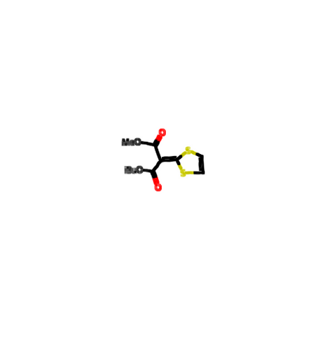 COC(=O)C(C(=O)OCC(C)C)=C1SC=CS1